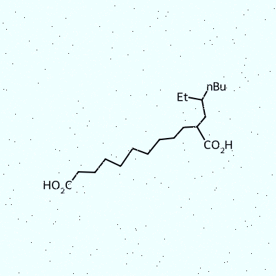 CCCCC(CC)CC(CCCCCCCCCC(=O)O)C(=O)O